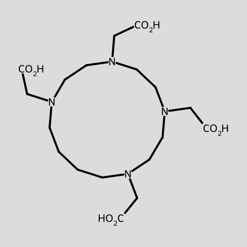 O=C(O)CN1CCCCN(CC(=O)O)CCN(CC(=O)O)CCN(CC(=O)O)CC1